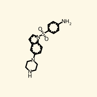 Nc1ccc(S(=O)(=O)n2ccc3cc(N4CCNCC4)ccc32)cc1